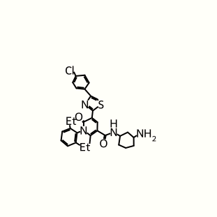 CCc1cccc(CC)c1-n1c(C)c(C(=O)NC2CCCC(N)C2)cc(-c2nc(-c3ccc(Cl)cc3)cs2)c1=O